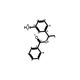 CC(OC(=O)c1ccccc1)c1cccc(N)c1